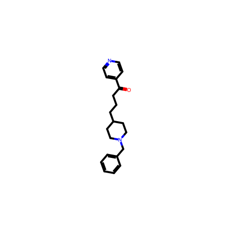 O=C(CCCC1CCN(Cc2ccccc2)CC1)c1ccncc1